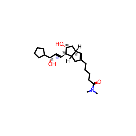 CN(C)C(=O)CCCCC1=C[C@H]2C[C@@H](O)[C@H](/C=C/[C@@H](O)C3CCCC3)[C@H]2C1